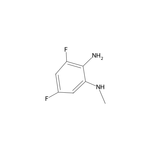 CNc1cc(F)cc(F)c1N